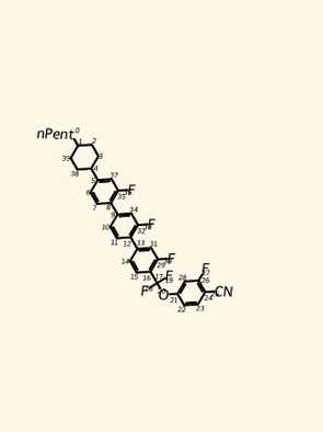 CCCCCC1CCC(c2ccc(-c3ccc(-c4ccc(C(F)(F)Oc5ccc(C#N)c(F)c5)c(F)c4)c(F)c3)c(F)c2)CC1